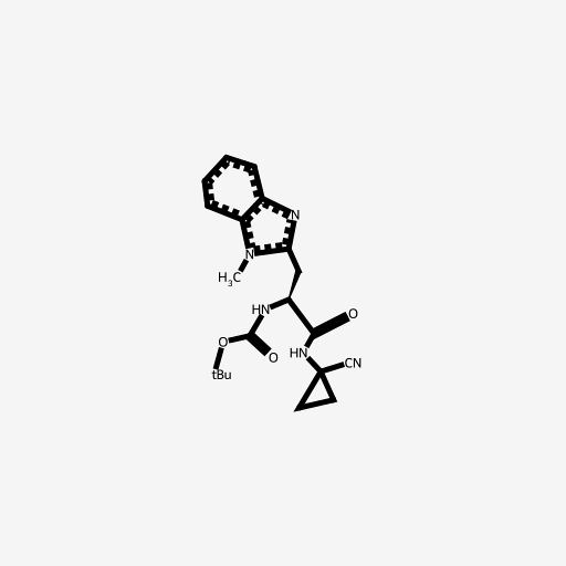 Cn1c(C[C@H](NC(=O)OC(C)(C)C)C(=O)NC2(C#N)CC2)nc2ccccc21